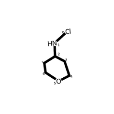 ClNC1CCOCC1